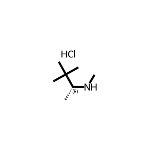 CN[C@H](C)C(C)(C)C.Cl